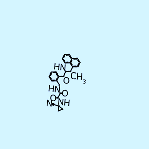 C[C@@H](C(=N)C(=O)c1ccccc1CNC(=O)C(=O)NC1(C#N)CC1)c1cccc2ccccc12